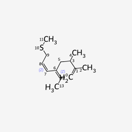 C=C(C)C(C)CC(/C=C\CSC)=C/C